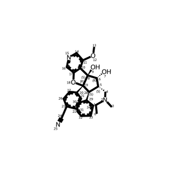 CCN(C)C[C@H]1[C@@H](O)[C@@]2(O)c3c(OC)cncc3O[C@@]2(c2ccc(C#N)cc2)[C@@H]1c1ccccc1